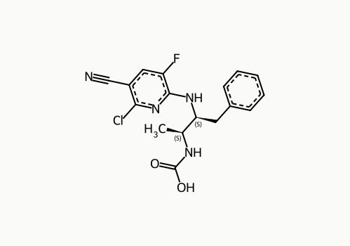 C[C@H](NC(=O)O)[C@H](Cc1ccccc1)Nc1nc(Cl)c(C#N)cc1F